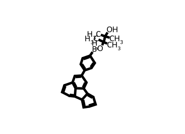 CC(C)(O)C(C)(C)OBc1ccc(-c2cc3c4c(cccc4c2)-c2ccccc2-3)cc1